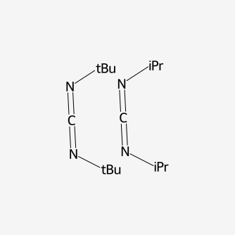 CC(C)(C)N=C=NC(C)(C)C.CC(C)N=C=NC(C)C